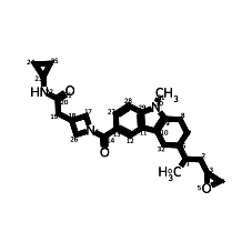 CC(CC1CO1)C1CCc2c(c3cc(C(=O)N4CC(CC(=O)NC5CC5)C4)ccc3n2C)C1